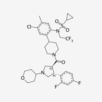 Cc1cc(N(CC(F)(F)F)S(=O)(=O)C2CC2)c(C2CCN(C(=O)[C@@H]3CN(C4CCOCC4)C[C@H]3c3ccc(F)cc3F)CC2)cc1Cl